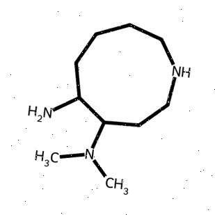 CN(C)C1CCNCCCCC1N